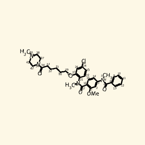 COc1cc(N(C)C(=O)c2ccccc2)ccc1C(=O)N(C)c1ccc(Cl)cc1OCCCCCC(=O)N1CCN(C)CC1